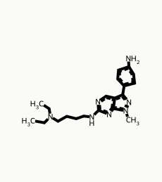 CCN(CC)CCCCNc1ncc2c(-c3ccc(N)cc3)nn(C)c2n1